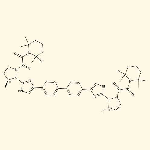 C[C@H]1CCN(C(=O)C(=O)N2C(C)(C)CCCC2(C)C)C1c1nc(-c2ccc(-c3ccc(-c4c[nH]c(C5[C@@H](C)CCN5C(=O)C(=O)N5C(C)(C)CCCC5(C)C)n4)cc3)cc2)c[nH]1